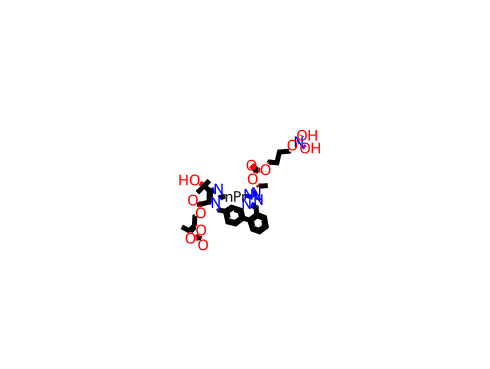 CCCc1nc(C(C)(C)O)c(C(=O)OCc2oc(=O)oc2C)n1Cc1ccc(-c2ccccc2-c2nnn(C(C)OC(=O)OCCCCON(O)O)n2)cc1